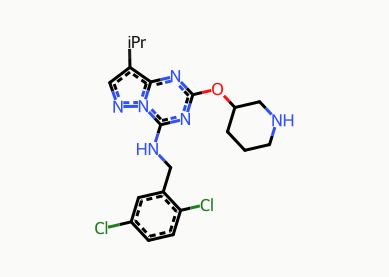 CC(C)c1cnn2c(NCc3cc(Cl)ccc3Cl)nc(OC3CCCNC3)nc12